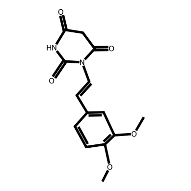 COc1ccc(C=CN2C(=O)CC(=O)NC2=O)cc1OC